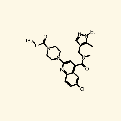 CCn1ncc(CN(C)C(=O)c2cc(N3CCN(C(=O)OC(C)(C)C)CC3)nc3ccc(Cl)cc23)c1C